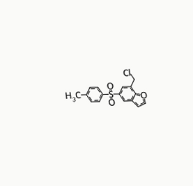 Cc1ccc(S(=O)(=O)c2cc(CCl)c3occc3c2)cc1